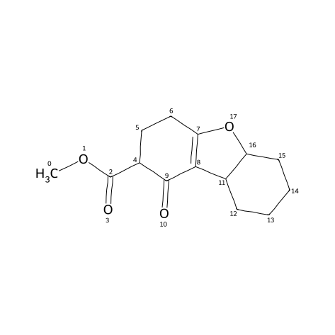 COC(=O)C1CCC2=C(C1=O)C1CCCCC1O2